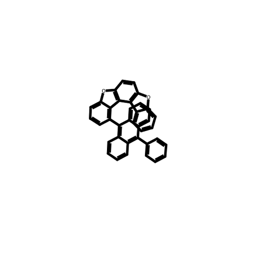 c1ccc(-c2c3ccccc3c(-c3cccc4oc5ccc6oc7ccccc7c6c5c34)c3ccccc23)cc1